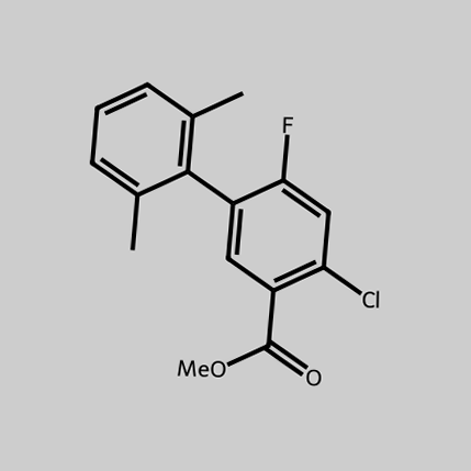 COC(=O)c1cc(-c2c(C)cccc2C)c(F)cc1Cl